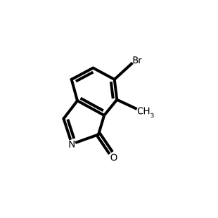 Cc1c(Br)ccc2c1C(=O)N=C2